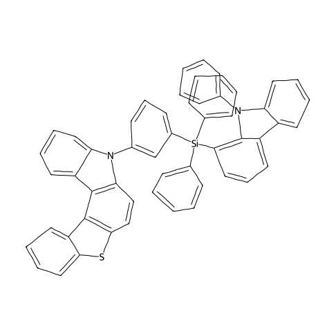 c1ccc(-n2c3ccccc3c3cccc([Si](c4ccccc4)(c4ccccc4)c4cccc(-n5c6ccccc6c6c7c(ccc65)sc5ccccc57)c4)c32)cc1